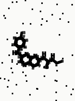 CCNC(=S)Nc1ccc2ncc(Nc3ccc(C)cc3)nc2n1